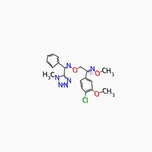 CO/N=C(/CON=C(c1ccccc1)c1nnnn1C)c1ccc(Cl)c(OC)c1